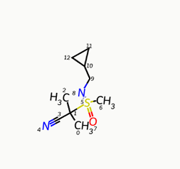 CC(C)(C#N)S(C)(=O)=NCC1CC1